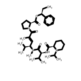 CC[C@H](OC(=O)[C@@H]1CCCN1C(=O)/C(C)=C/[C@H](C(C)C)N(C)C(=O)[C@@H](NC(=O)[C@H]1CCCCN1C(C)C)C(C)C)c1ccccc1